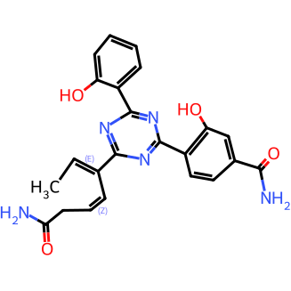 C/C=C(\C=C/CC(N)=O)c1nc(-c2ccccc2O)nc(-c2ccc(C(N)=O)cc2O)n1